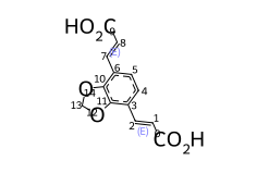 O=C(O)/C=C/c1ccc(/C=C/C(=O)O)c2c1OCO2